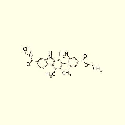 CCOC(=O)c1ccc(-c2cc3[nH]c4cc(C(=O)OCC)ccc4c3c(C)c2C)c(N)c1